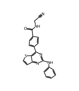 N#CCNC(=O)c1ccc(-c2nc(Nc3ccccc3)nc3ccsc23)cc1